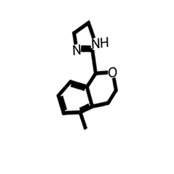 Cc1cccc2c1CCOC2C1=NCCN1